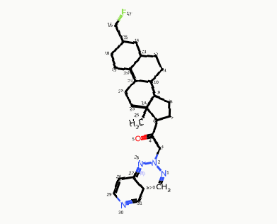 C=NN(CC(=O)C1CCC2C3CCC4CC(CF)CCC4C3CCC12C)/N=C1/C=CN=CC1